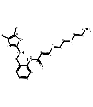 Cc1nc(NCc2ccccc2NC(=O)C=COCCOCCN)sc1C